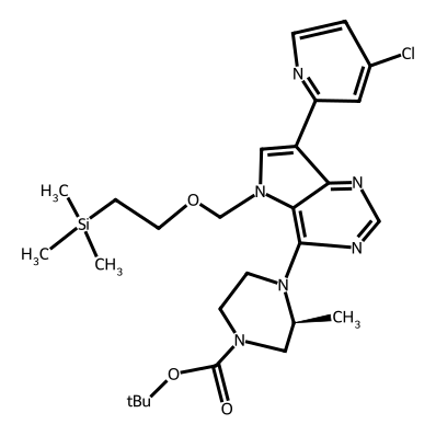 C[C@H]1CN(C(=O)OC(C)(C)C)CCN1c1ncnc2c(-c3cc(Cl)ccn3)cn(COCC[Si](C)(C)C)c12